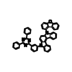 c1ccc(-c2nc(-c3ccccc3)nc(-c3cccc(-n4c5ccccc5c5c6c7ccccc7n(-c7cccc8oc9ccccc9c78)c6ccc54)c3)n2)cc1